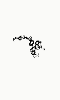 CC1=C(c2cccc(F)c2Cl)[C@@H](c2ccc(OCCN3CC(CF)C3)cc2)Oc2ccc(O)cc21